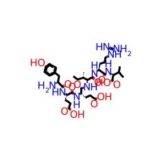 CC[C@H](C)[C@H](NC(=O)[C@H](CCC(=O)O)NC(=O)[C@H](CCC(=O)O)NC(=O)[C@@H](N)Cc1ccc(O)cc1)C(=O)N[C@@H](CCCNC(=N)N)C(=O)N[C@H](C(=O)O)C(C)C